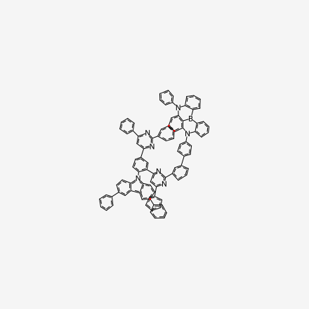 c1ccc(-c2ccc3c(c2)c2cc(-c4ccccc4)ccc2n3-c2ccc(-c3cc(-c4ccccc4)nc(-c4ccccc4)n3)cc2-c2cc(-c3ccccc3)nc(-c3cccc(-c4ccc(N5c6ccccc6B6c7ccccc7N(c7ccccc7)c7cccc5c76)cc4)c3)n2)cc1